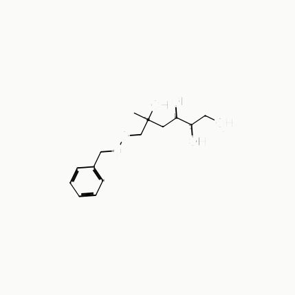 CC(O)(COOCc1ccccc1)CC(O)C(O)CO